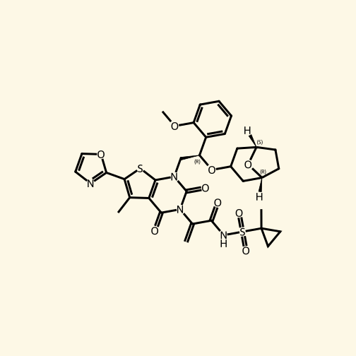 C=C(C(=O)NS(=O)(=O)C1(C)CC1)n1c(=O)c2c(C)c(-c3ncco3)sc2n(C[C@H](OC2C[C@H]3CC[C@@H](C2)O3)c2ccccc2OC)c1=O